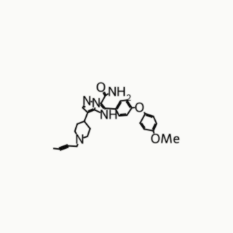 CC#CCN1CCC(c2cnn3c(C(N)=O)c(-c4ccc(Oc5ccc(OC)cc5)cc4)[nH]c23)CC1